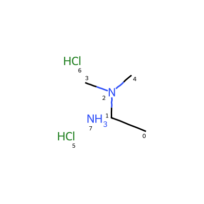 CCN(C)C.Cl.Cl.N